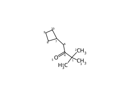 CC(C)(C)C(=O)CC1CCC1